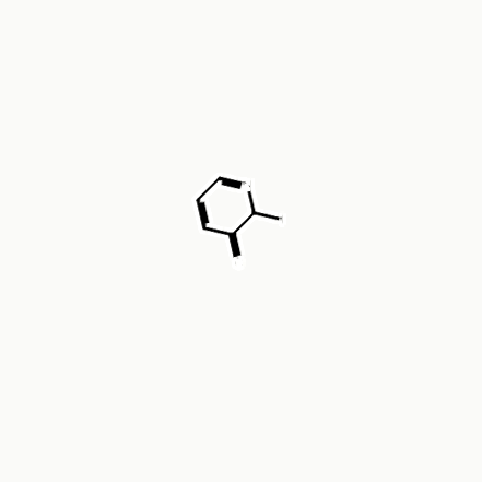 O=C1C=CC=NC1I